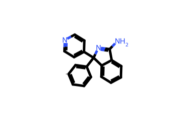 NC1=NC(c2c[c]ccc2)(c2ccncc2)c2ccccc21